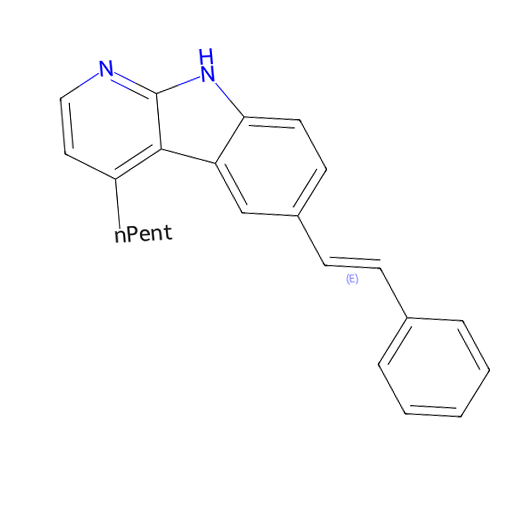 CCCCCc1ccnc2[nH]c3ccc(/C=C/c4ccccc4)cc3c12